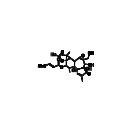 CCC(C)C(=O)OC12C(OC(=O)/C=C/SC)C(C)C3(O)C(C4OC4(CO)C(O)C4(O)C(=O)C(C)=CC43)C1C2(C)C